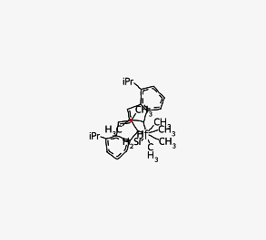 CC1=Cc2c(C(C)C)cccc2[CH]1[Hf]([CH3])([CH3])([CH3])([CH3])(=[SiH2])[CH]1C(C)=Cc2c(C(C)C)cccc21